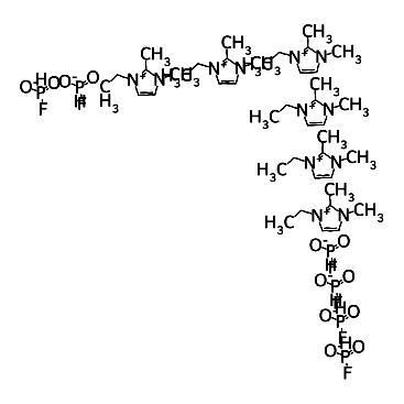 CC[n+]1ccn(C)c1C.CC[n+]1ccn(C)c1C.CC[n+]1ccn(C)c1C.CC[n+]1ccn(C)c1C.CC[n+]1ccn(C)c1C.CC[n+]1ccn(C)c1C.O=[PH]([O-])F.O=[PH]([O-])F.O=[PH]([O-])F.O=[PH]([O-])F.O=[PH]([O-])F.O=[PH]([O-])F